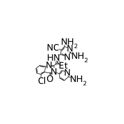 CC[C@H](Nc1nc(N)nc(N)c1C#N)c1nc2cccc(Cl)c2c(=O)n1-c1ccc(N)nc1